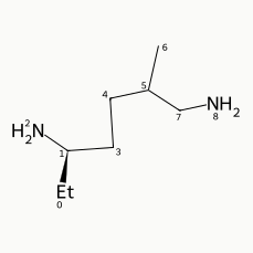 CC[C@@H](N)CCC(C)CN